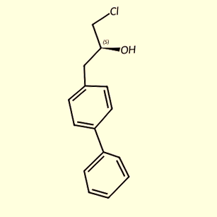 O[C@H](CCl)Cc1ccc(-c2ccccc2)cc1